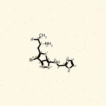 C[C@H](F)[C@H](N)Cc1sc2c(NCc3nccs3)snc2c1Br